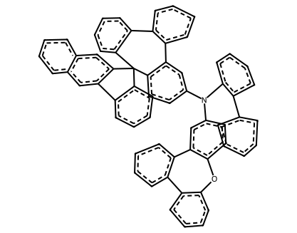 c1ccc(-c2ccccc2N(c2ccc3c(c2)-c2ccccc2-c2ccccc2O3)c2ccc3c(c2)-c2ccccc2-c2ccccc2C32c3ccccc3-c3cc4ccccc4cc32)cc1